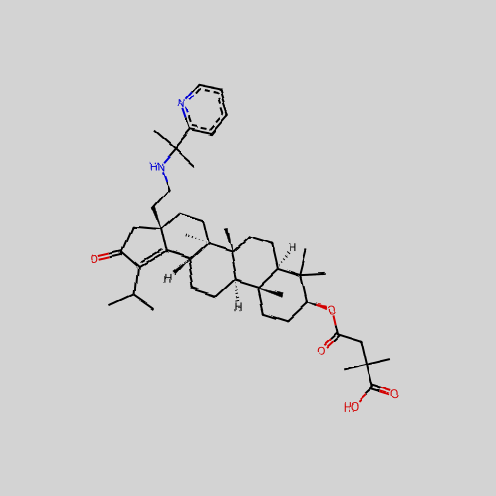 CC(C)C1=C2[C@H]3CC[C@@H]4[C@@]5(C)CC[C@H](OC(=O)CC(C)(C)C(=O)O)C(C)(C)[C@@H]5CC[C@@]4(C)[C@]3(C)CC[C@@]2(CCNC(C)(C)c2ccccn2)CC1=O